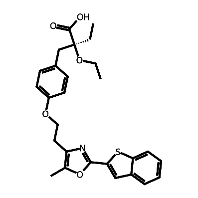 CCO[C@@](CC)(Cc1ccc(OCCc2nc(-c3cc4ccccc4s3)oc2C)cc1)C(=O)O